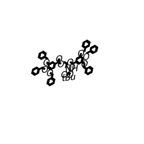 CC(C)(C)OC(=O)NCC(COC(=O)c1cc(OCc2ccccc2)c(OCc2ccccc2)c(OCc2ccccc2)c1)OC(=O)c1cc(OCc2ccccc2)c(OCc2ccccc2)c(OCc2ccccc2)c1